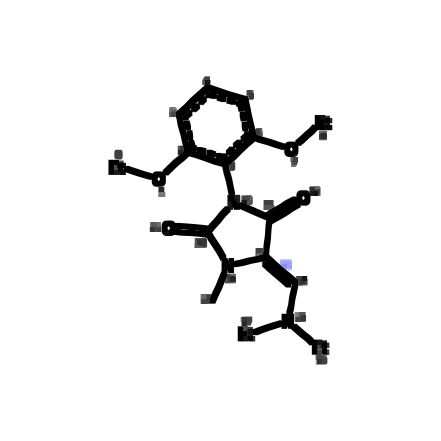 CCOc1cccc(OCC)c1N1C(=O)/C(=C/N(CC)CC)N(C)C1=O